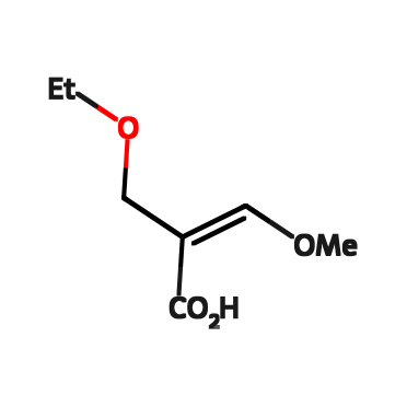 CCOC/C(=C/OC)C(=O)O